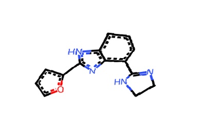 c1coc(-c2nc3c(C4=NCCN4)cccc3[nH]2)c1